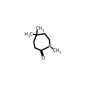 CN1CCC(C)(C)CCC1=O